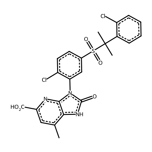 Cc1cc(C(=O)O)nc2c1[nH]c(=O)n2-c1cc(S(=O)(=O)C(C)(C)c2ccccc2Cl)ccc1Cl